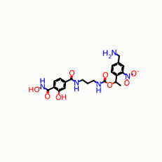 CC(OC(=O)NCCCNC(=O)c1ccc(C(=O)NO)c(O)c1)c1ccc(CN)cc1[N+](=O)[O-]